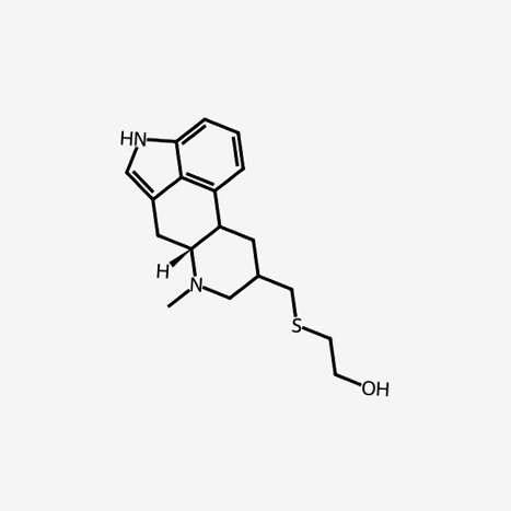 CN1CC(CSCCO)CC2c3cccc4[nH]cc(c34)C[C@H]21